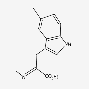 CCOC(=O)/C(Cc1c[nH]c2ccc(C)cc12)=N/C